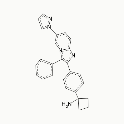 NC1(c2ccc(-c3nc4ccc(-n5cccn5)cn4c3-c3ccccc3)cc2)CCC1